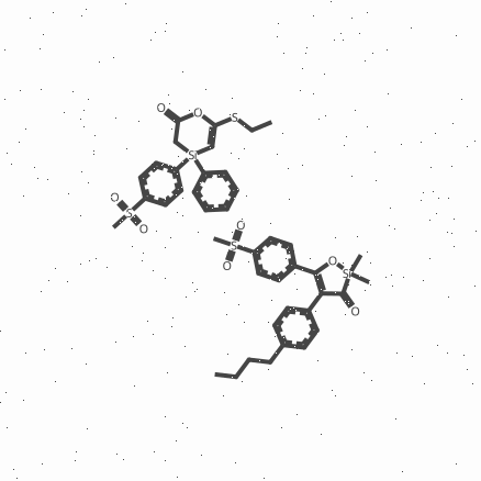 CCCCc1ccc(C2=C(c3ccc(S(C)(=O)=O)cc3)O[Si](C)(C)C2=O)cc1.CCSC1=C[Si](c2ccccc2)(c2ccc(S(C)(=O)=O)cc2)CC(=O)O1